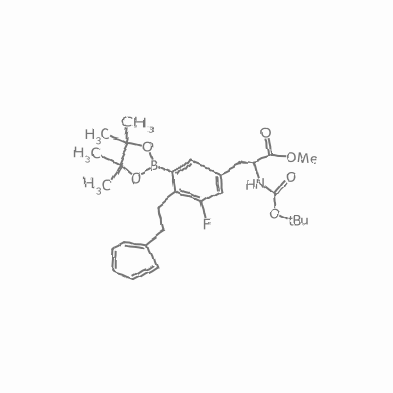 COC(=O)[C@H](Cc1cc(F)c(CCc2ccccc2)c(B2OC(C)(C)C(C)(C)O2)c1)NC(=O)OC(C)(C)C